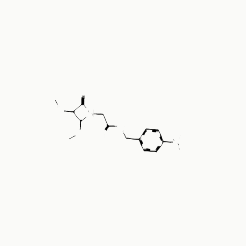 COC1C(=O)N(CC(=O)OCc2ccc([N+](=O)[O-])cc2)C1SC